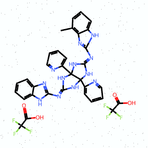 Cc1cccc2[nH]c(N=C3NC4(c5ccccn5)NC(=Nc5nc6ccccc6[nH]5)NC4(c4ccccn4)N3)nc12.O=C(O)C(F)(F)F.O=C(O)C(F)(F)F